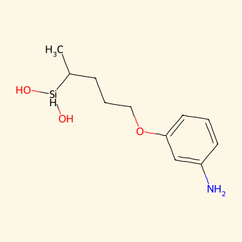 CC(CCCOc1cccc(N)c1)[SiH](O)O